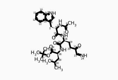 CC(=O)N[C@@H](Cc1c[nH]c2ccccc12)C(=O)N[C@@H](CCC(=O)C=N)C(=O)N[C@@H](CC(C)C)C(=O)OC(C)(C)C